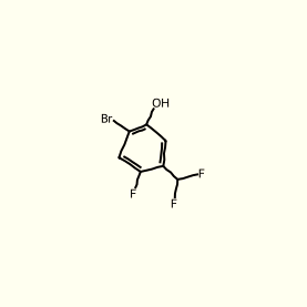 Oc1cc(C(F)F)c(F)cc1Br